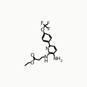 CCOC(=O)CCNc1nc(-c2ccc(OC(F)(F)F)cc2)ccc1N